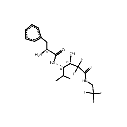 CC(C)[C@H](NC(=O)[C@@H](N)Cc1ccccc1)[C@@H](O)C(F)(F)C(=O)NCC(F)(F)F